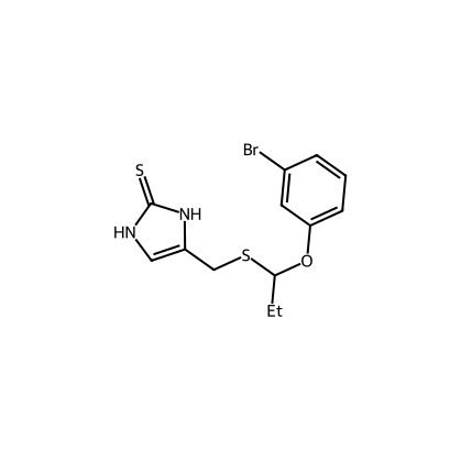 CCC(Oc1cccc(Br)c1)SCc1c[nH]c(=S)[nH]1